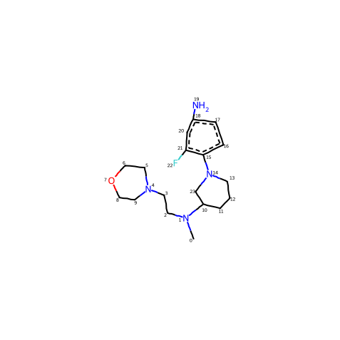 CN(CCN1CCOCC1)C1CCCN(c2ccc(N)cc2F)C1